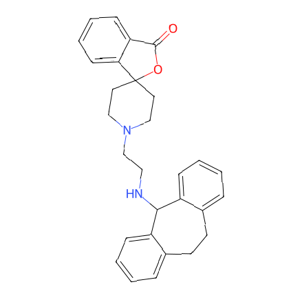 O=C1OC2(CCN(CCNC3c4ccccc4CCc4ccccc43)CC2)c2ccccc21